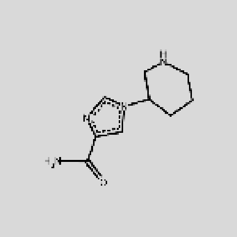 NC(=O)c1cn(C2CCCNC2)cn1